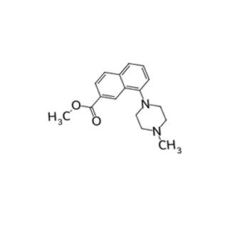 COC(=O)c1ccc2cccc(N3CCN(C)CC3)c2c1